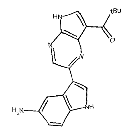 CC(C)(C)C(=O)c1c[nH]c2ncc(-c3c[nH]c4ccc(N)cc34)nc12